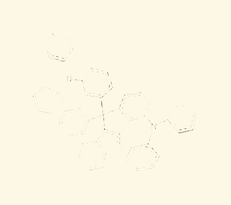 c1ccc(N(c2ccccc2)c2cccc3c2-c2ccccc2C32c3cccc(N(c4ccccc4)c4ccccc4)c3-c3oc4ccccc4c32)cc1